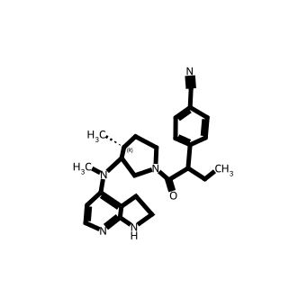 CCC(C(=O)N1CC[C@@H](C)C(N(C)c2ccnc3c2CCN3)C1)c1ccc(C#N)cc1